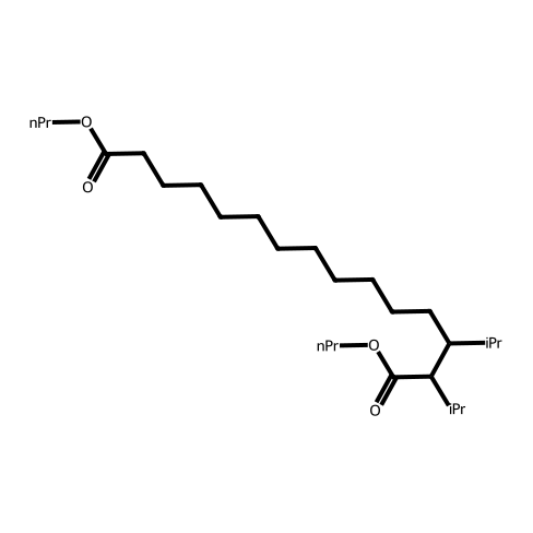 CCCOC(=O)CCCCCCCCCCCC(C(C)C)C(C(=O)OCCC)C(C)C